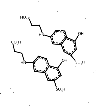 O=C(O)CCNc1ccc2c(O)cc(S(=O)(=O)O)cc2c1.O=S(=O)(O)CCNc1ccc2c(O)cc(S(=O)(=O)O)cc2c1